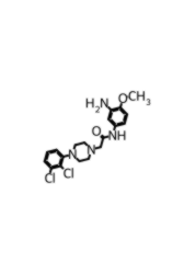 COc1ccc(NC(=O)CN2CCN(c3cccc(Cl)c3Cl)CC2)cc1N